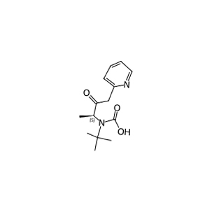 C[C@@H](C(=O)Cc1ccccn1)N(C(=O)O)C(C)(C)C